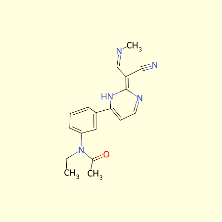 CCN(C(C)=O)c1cccc(C2=CC=N/C(=C(C#N)/C=N\C)N2)c1